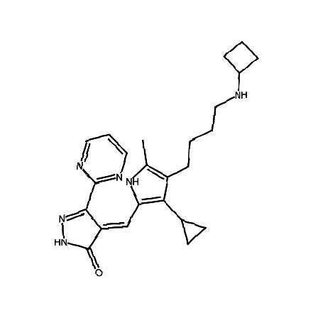 Cc1[nH]c(/C=C2/C(=O)NN=C2c2ncccn2)c(C2CC2)c1CCCCNC1CCC1